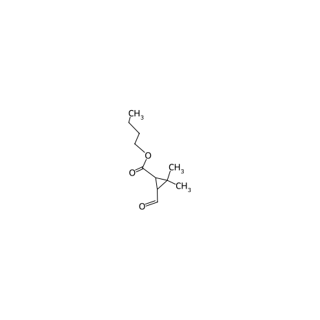 CCCCOC(=O)C1C(C=O)C1(C)C